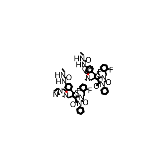 CCNC(=O)Nc1ccc(-c2sc3c(c2CN(C)CCO)c(=O)n(-c2ccccc2)c(=O)n3Cc2c(F)cccc2F)cc1.CCNC(=O)Nc1ccc(-c2sc3c(c2CN(C)CCn2ccnc2)c(=O)n(-c2ccccc2)c(=O)n3Cc2c(F)cccc2F)cc1